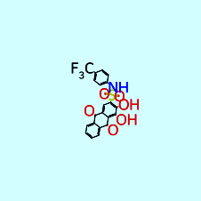 O=C1c2ccccc2C(=O)c2c1cc(S(=O)(=O)Nc1ccc(C(F)(F)F)cc1)c(O)c2O